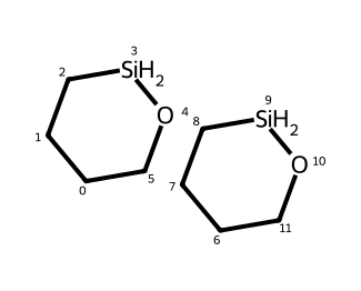 C1CC[SiH2]OC1.C1CC[SiH2]OC1